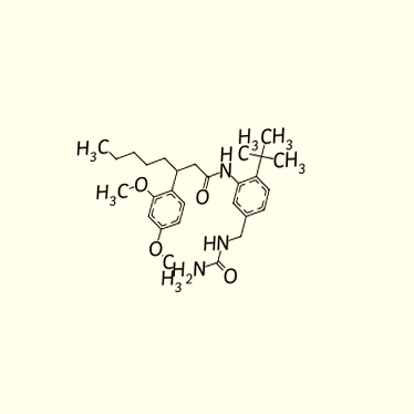 CCCCCC(CC(=O)Nc1cc(CNC(N)=O)ccc1C(C)(C)C)c1ccc(OC)cc1OC